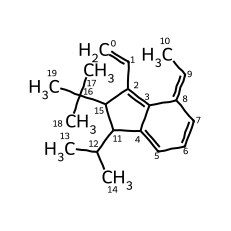 C=CC1=c2c(ccc/c2=C/C)C(C(C)C)C1C(C)(C)C